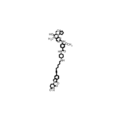 CC[C@@H]1C(O)N(C)c2cnc(Nc3ccc(C(=O)N[C@H]4CC[C@@H](NCCCCCC#Cc5ccc6c(c5)CN(C5CCC(=O)NC5=O)C6=O)CC4)cc3OC)nc2N1C1CCCC1